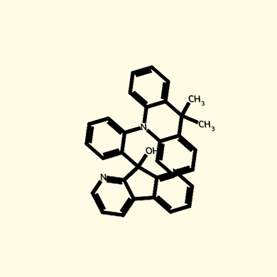 CC1(C)c2ccccc2N(c2ccccc2C2(O)c3ncccc3-c3cccnc32)c2ccccc21